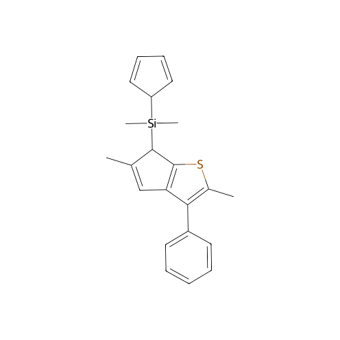 CC1=Cc2c(sc(C)c2-c2ccccc2)C1[Si](C)(C)C1C=CC=C1